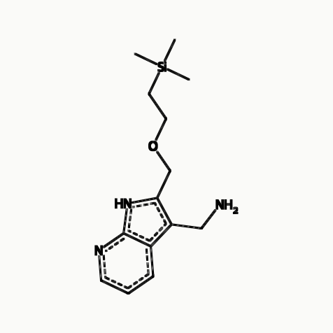 C[Si](C)(C)CCOCc1[nH]c2ncccc2c1CN